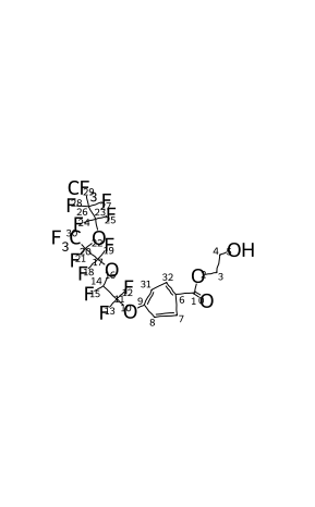 O=C(OCCO)c1ccc(OC(F)(F)C(F)OC(F)(F)C(F)(OC(F)(F)C(F)(F)C(F)(F)F)C(F)(F)F)cc1